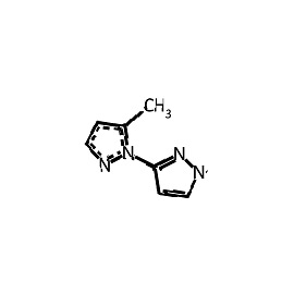 Cc1ccnn1C1=N[N]C=C1